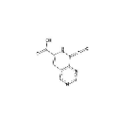 O=C=C1NC(C(=O)O)=Cc2cncnc21